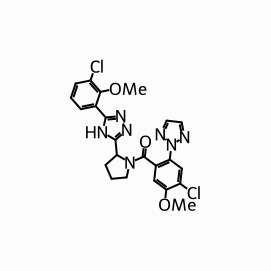 COc1cc(C(=O)N2CCCC2c2nnc(-c3cccc(Cl)c3OC)[nH]2)c(-n2nccn2)cc1Cl